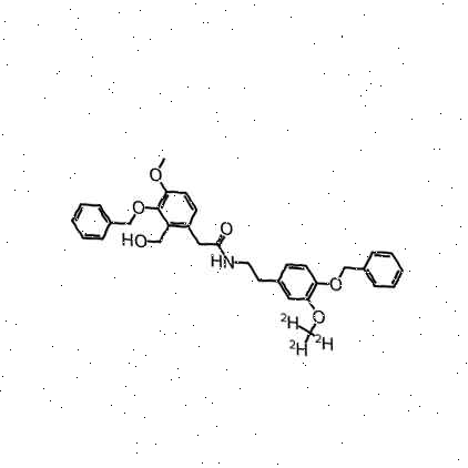 [2H]C([2H])([2H])Oc1cc(CCNC(=O)Cc2ccc(OC)c(OCc3ccccc3)c2CO)ccc1OCc1ccccc1